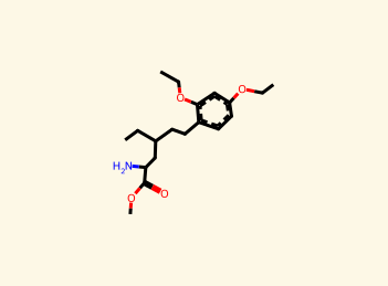 CCOc1ccc(CCC(CC)CC(N)C(=O)OC)c(OCC)c1